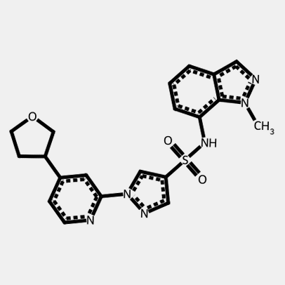 Cn1ncc2cccc(NS(=O)(=O)c3cnn(-c4cc(C5CCOC5)ccn4)c3)c21